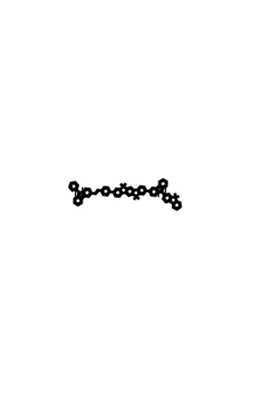 CC1(C)c2ccccc2-c2ccc(-n3c4ccccc4c4cc(-c5ccc6c(c5)C(C)(C)c5cc7c(cc5-6)C(C)(C)c5cc(-c6ccc(/C=C/c8ccc9c(c8)c8ccccc8n9-c8ccccc8)cc6)ccc5-7)ccc43)cc21